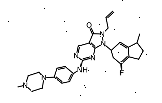 C=CCn1c(=O)c2cnc(Nc3ccc(N4CCN(C)CC4)cc3)nc2n1C1C=C2C(=C(F)C1)CCC2C